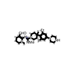 CCc1cc(N2CCNCC2)cc(F)c1C1(C)CCN(/C(=N/C2=C(C=O)CCCN2C)NC)CC1